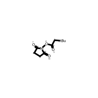 CC(C)(C)CC(=O)ON1C(=O)CCC1=O